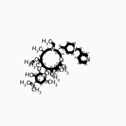 CCN1C[C@H](C)C[C@@](C)(OC)[C@H](O[C@@H]2O[C@H](C)C[C@H](N(C)C)[C@H]2O)[C@@H](C)C(=O)C(C)(C)C(=O)OC[C@H]1CC1CCN(Cc2cccnc2)CC1